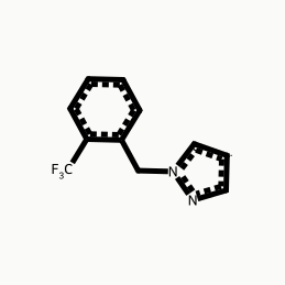 FC(F)(F)c1ccccc1Cn1c[c]cn1